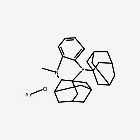 CN(C)c1ccccc1P(C12CC3CC(CC(C3)C1)C2)C12CC3CC(CC(C3)C1)C2.[Cl][Au]